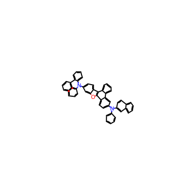 c1ccc(-c2ccccc2N(c2ccccc2)c2ccc3c(c2)oc2c4ccc(N(c5ccccc5)c5ccc6ccccc6c5)cc4c4ccccc4c32)cc1